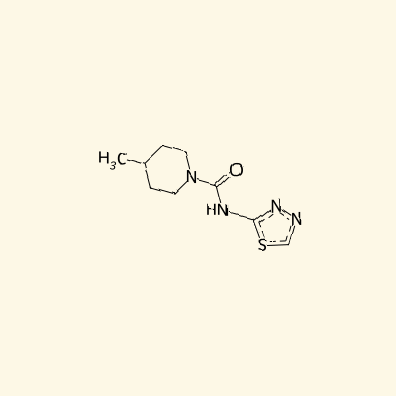 CC1CCN(C(=O)Nc2nncs2)CC1